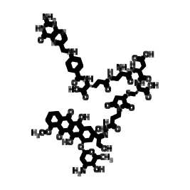 COc1cccc2c1C(=O)c1c(O)c3c(c(O)c1C2=O)C[C@@](O)(/C(CO)=N\NC(=O)CCN1C(=O)CC(SC[C@H](NC(=O)[C@H](CC(=O)O)NC(=O)[C@@H](N)CNC(=O)CC[C@@H](NC(=O)c2ccc(NCc4cnc5nc(N)[nH]c(=O)c5n4)cc2)C(=O)O)C(=O)O)C1=O)C[C@@H]3O[C@H]1CC(N)[C@H](O)C(C)O1